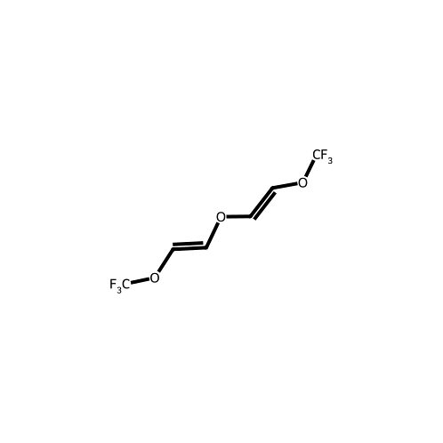 FC(F)(F)OC=COC=COC(F)(F)F